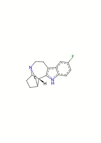 Fc1ccc2[nH]c3c(c2c1)CCN1CC2CCC1[C@H]32